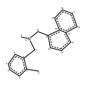 Cc1ccccc1CN(C)Cc1cccc2ccccc12